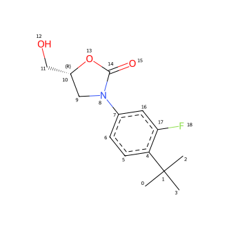 CC(C)(C)c1ccc(N2C[C@H](CO)OC2=O)cc1F